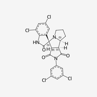 O=C1[C@H]2[C@@H](C(=O)N1c1cc(Cl)cc(Cl)c1)[C@]1(C(=O)Nc3c(Cl)cc(Cl)cc31)N1CCC[C@@H]21